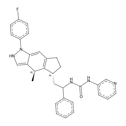 C[C@H]1C2=CNN(c3ccc(F)cc3)C2=CC2=C1[C@@H](CC(NC(=O)Nc1cccnc1)c1ccccc1)CC2